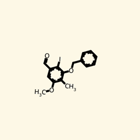 COc1cc(C=O)c(I)c(OCc2ccccc2)c1C